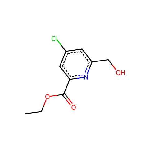 CCOC(=O)c1cc(Cl)cc(CO)n1